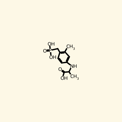 Cc1cc(NC(C)C(=O)O)ccc1CP(=O)(O)O